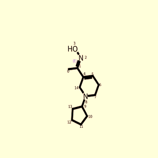 C/C(=N\O)C1=CCCN(C2CCCC2)C1